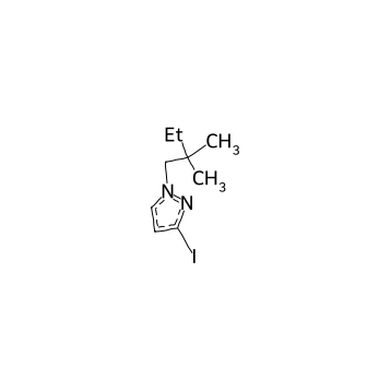 CCC(C)(C)Cn1ccc(I)n1